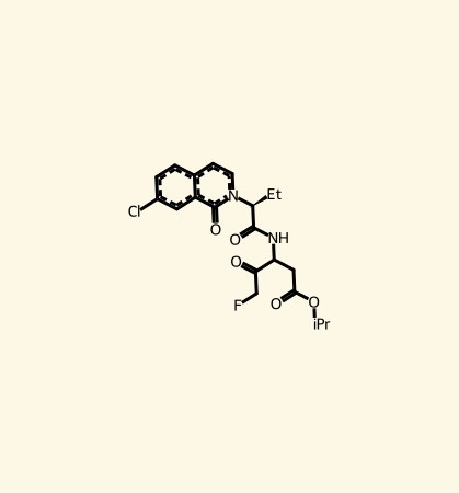 CC[C@@H](C(=O)NC(CC(=O)OC(C)C)C(=O)CF)n1ccc2ccc(Cl)cc2c1=O